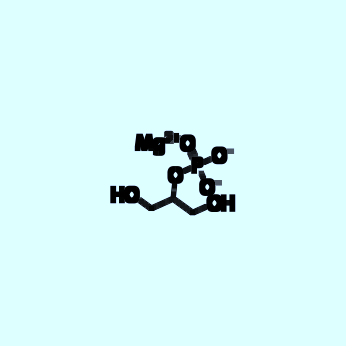 O=P([O-])([O-])OC(CO)CO.[Mg+2]